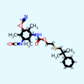 Cc1c(N=C=O)c(C)c(OC#N)c(C)c1NC(=O)OCCSCC(C)(C)c1ccccc1